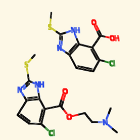 CSc1nc2ccc(Cl)c(C(=O)O)c2[nH]1.CSc1nc2ccc(Cl)c(C(=O)OCCN(C)C)c2[nH]1